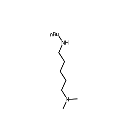 CCCCNCCCCCN(C)C